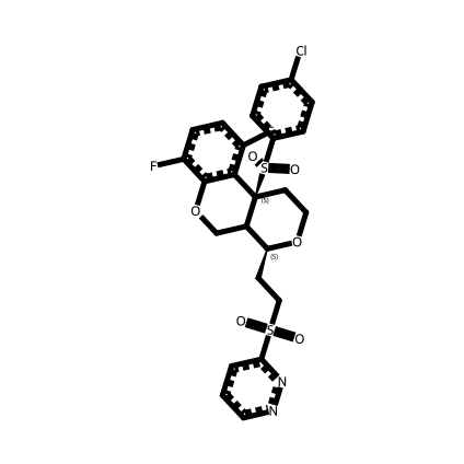 O=S(=O)(CC[C@@H]1OCC[C@@]2(S(=O)(=O)c3ccc(Cl)cc3)c3c(F)ccc(F)c3OCC12)c1cccnn1